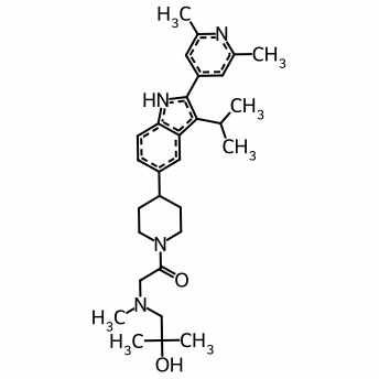 Cc1cc(-c2[nH]c3ccc(C4CCN(C(=O)CN(C)CC(C)(C)O)CC4)cc3c2C(C)C)cc(C)n1